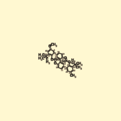 COc1ccc(OPOc2ccccc2-c2ccccc2OPOc2ccc(C)cc2C(C)(C)C)c(C(C)(C)C)c1